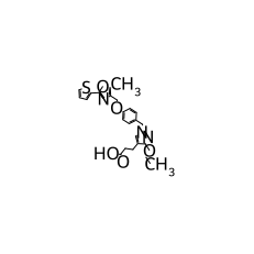 CCOc1nn(Cc2ccc(OCc3nc(-c4cccs4)oc3C)cc2)cc1CCC(=O)O